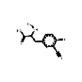 CNC(Cc1ccc(Cl)c(C#N)c1)C(=O)O